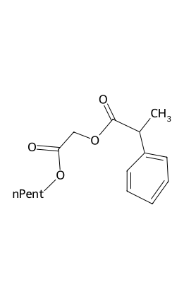 CCCCCOC(=O)COC(=O)C(C)c1ccccc1